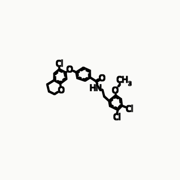 CCOc1cc(Cl)c(Cl)cc1CCNC(=O)c1ccc(Oc2cc3c(cc2Cl)CCCO3)cc1